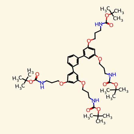 CC(C)(C)OC(=O)NCCCOc1cc(OCCCNC(=O)OC(C)(C)C)cc(-c2cccc(-c3cc(OCCCNC(=O)OC(C)(C)C)cc(OCCCNC(=O)OC(C)(C)C)c3)c2)c1